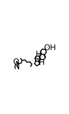 CC(CCCC(C)[C@H]1CC[C@H]2[C@@H]3CC=C4C[C@@H](O)CC[C@]4(C)[C@H]3CC[C@]12C)CC(=O)N(C)C